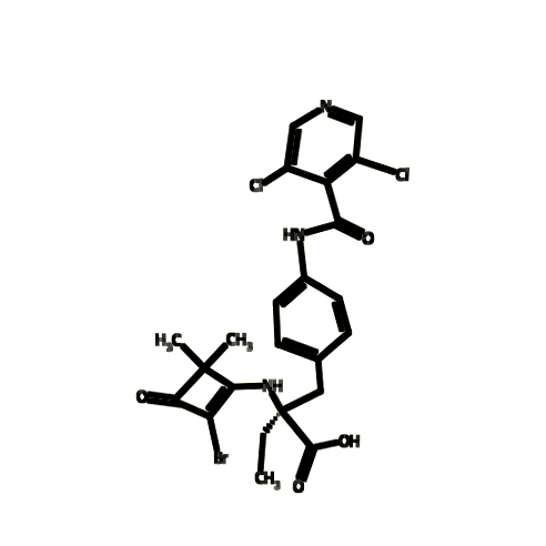 CC[C@@](Cc1ccc(NC(=O)c2c(Cl)cncc2Cl)cc1)(NC1=C(Br)C(=O)C1(C)C)C(=O)O